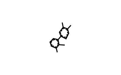 Cc1[c]ccc(-c2ccc(C)c(C)c2)c1C